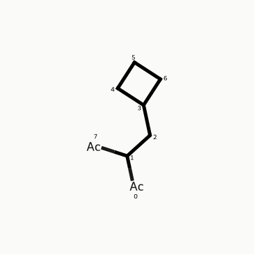 CC(=O)C(CC1CCC1)C(C)=O